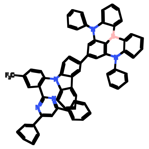 FC(F)(F)c1ccc(-n2c3ccccc3c3cc(-c4cc5c6c(c4)N(c4ccccc4)c4ccccc4B6c4ccccc4N5c4ccccc4)ccc32)c(-c2nc(-c3ccccc3)cc(-c3ccccc3)n2)c1